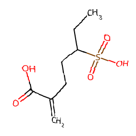 C=C(CCC(CC)S(=O)(=O)O)C(=O)O